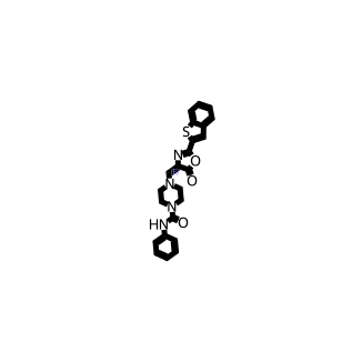 O=C1OC(c2cc3ccccc3s2)=N/C1=C/N1CCN(C(=O)Nc2ccccc2)CC1